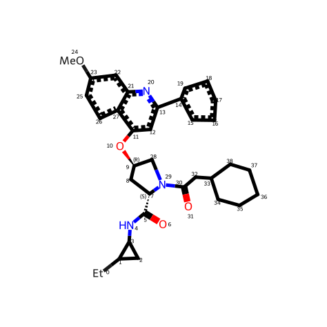 CCC1CC1NC(=O)[C@@H]1C[C@@H](Oc2cc(-c3ccccc3)nc3cc(OC)ccc23)CN1C(=O)CC1CCCCC1